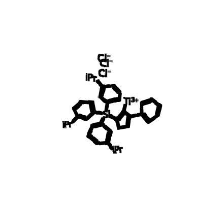 CC(C)c1cccc([Si](C2=[C]([Ti+3])C(c3ccccc3)=CC2)(c2cccc(C(C)C)c2)c2cccc(C(C)C)c2)c1.[Cl-].[Cl-].[Cl-]